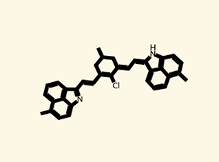 Cc1ccc2c3c(cccc13)C(/C=C/C1=C(Cl)C(=C/C=c3/[nH]c4ccc(C)c5cccc3c45)/CC(C)C1)=N2